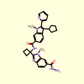 Cn1c(C2(NC(=O)c3ccc4c(C5CCCC5)c(-c5ccccn5)n(C)c4c3)CCC2)nc2ccc(C(=O)NN)cc21